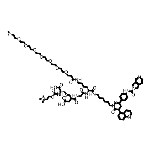 COCCOCCOCCOCCOCCOCCOCCOCCC(=O)NCCCC[C@H](NC(=O)CNC(=O)C(CSC[C@H](NC(=O)OCC[Si](C)(C)C)C(=O)O)CC(=O)O)C(=O)NCCCCCCN1N=C(c2ccc(NC(=O)N3Cc4ccncc4C3)cc2)CC(c2cccc3ncccc23)C1=O